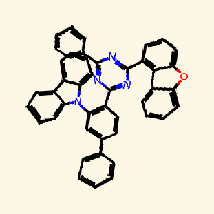 c1ccc(-c2ccc(-c3nc(-c4ccccc4)nc(-c4cccc5oc6ccccc6c45)n3)c(-n3c4ccccc4c4ccccc43)c2)cc1